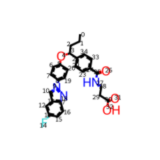 CCCC(Oc1ccc(-n2cc3cc(F)ccc3n2)cc1)c1ccc(C(=O)NCCC(=O)O)cc1